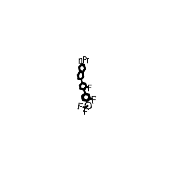 CCCc1ccc2cc(-c3ccc(-c4ccc(OC(F)F)c(F)c4)c(F)c3)ccc2c1